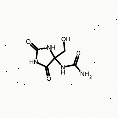 NC(=O)NC1(CO)NC(=O)NC1=O